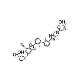 Cc1c(-c2nc3cc(CN4CC[C@@](C)(C(=O)O)C4)cc(C#N)c3o2)cccc1-c1cccc(-c2nc3c(s2)CN(C(=O)CN(C)[C@H](C)CO)C3)c1C